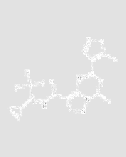 Cc1sncc1-c1cc(C)n2ncc(C(=O)N[C@H](C3CC3)C(F)(F)F)c2n1